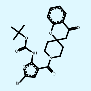 CC(C)(C)OC(=O)Nc1sc(Br)cc1C(=O)N1CCC2(CC1)CC(=O)c1ccccc1O2